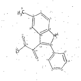 Cc1ccc2[nH]c(-c3ccccc3)c(C(=O)C(=O)Cl)c2c1